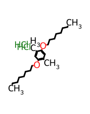 CCCCCCCCOc1cc(C)c(OCCCCCCCC)cc1C.Cl.Cl